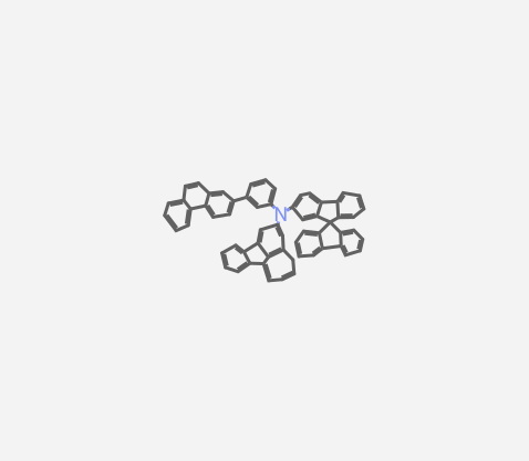 C1=CCc2cc(N(c3cccc(-c4ccc5c(ccc6ccccc65)c4)c3)c3ccc4c(c3)C3(c5ccccc5-c5ccccc53)c3ccccc3-4)cc3c2C(=C1)c1ccccc1-3